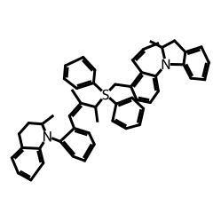 C/C=C\c1c(CS(c2ccccc2)(c2ccccc2)C(C)/C(C)=C\c2ccccc2N2c3ccccc3CCC2C)cccc1N1c2ccccc2CC1C